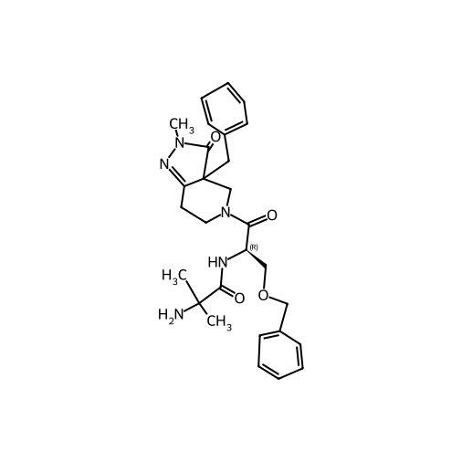 CN1N=C2CCN(C(=O)[C@@H](COCc3ccccc3)NC(=O)C(C)(C)N)CC2(Cc2ccccc2)C1=O